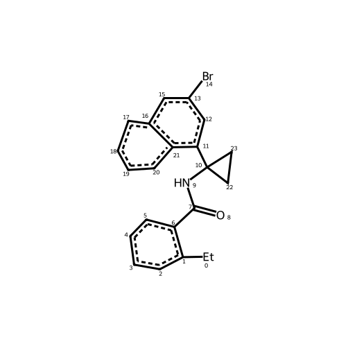 CCc1ccccc1C(=O)NC1(c2cc(Br)cc3ccccc23)CC1